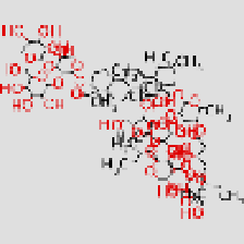 CC[C@H](C)[C@H](C[C@H](O)CC(=O)O[C@H]1C(C)O[C@@H](OC(=O)[C@]23CCC(C)(C)CC2C2=CCC4C5(C)CC[C@H](O[C@@H]6OC[C@@H](O)[C@H](O[C@@H]7OC[C@@H](O)[C@H](O)C7O)C6O[C@@H]6OC(CO)[C@H](O)[C@H](O)C6O)[C@](C)(C=O)[C@@H]5CC[C@]4(C)[C@]2(C)CC3O)C(O[C@@H]2OC(C)[C@H](O[C@@H]3OC[C@@H](O)C(O[C@@H]4OCC(O)(CO)[C@@H]4O)C3O)C(O)C2O)C1O)OC(=O)C[C@@H](O)C[C@H](O[C@@H]1O[C@H](CO)C(O)C1O)[C@@H](C)CC